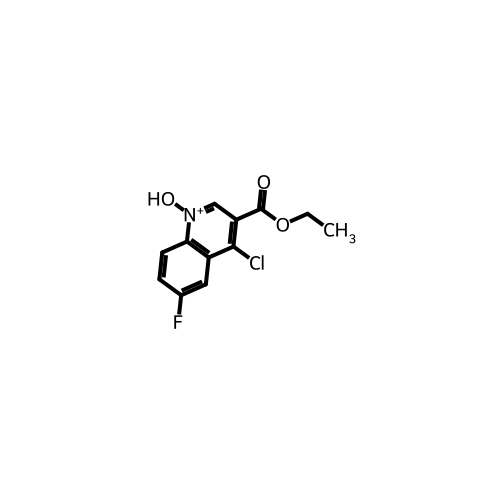 CCOC(=O)c1c[n+](O)c2ccc(F)cc2c1Cl